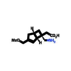 COCC1=C[C@H]2[C@@H](C1)C[C@@]2(CN)CC(=O)O